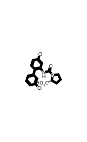 O=C(O)[C@H]1CCCN1C(=O)Nc1cc(Cl)ccc1-c1cccc(Cl)c1